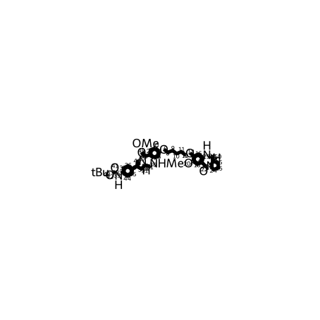 COc1cc2c(cc1OCCCCCOc1cc3c(cc1OC)C(=O)N1CCC[C@H]1CN3)NC[C@@H]1CC(c3ccc(NC(=O)OC(C)(C)C)cc3)=CN1C2=O